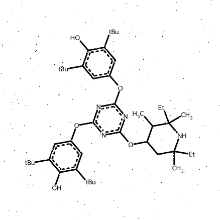 CCC1(C)CC(Oc2nc(Oc3cc(C(C)(C)C)c(O)c(C(C)(C)C)c3)nc(Oc3cc(C(C)(C)C)c(O)c(C(C)(C)C)c3)n2)C(C)C(C)(CC)N1